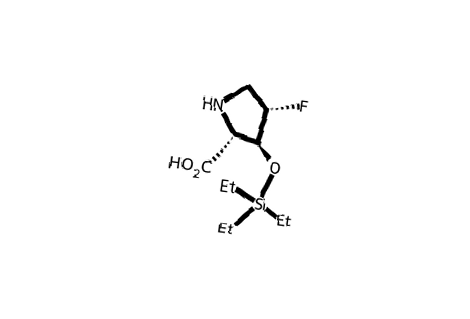 CC[Si](CC)(CC)O[C@@H]1[C@@H](F)CN[C@H]1C(=O)O